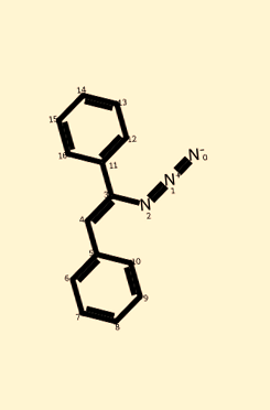 [N-]=[N+]=NC(=Cc1ccccc1)c1ccccc1